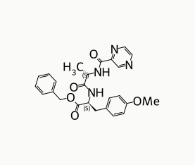 COc1ccc(C[C@H](NC(=O)[C@H](C)NC(=O)c2cnccn2)C(=O)OCc2ccccc2)cc1